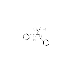 O=S(O)/C(=N/Cc1ccccc1)NCc1ccccc1